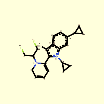 N#Cc1c(C2=CC=CCN2C(CF)CF)n(C2CC2)c2cc(C3CC3)ccc12